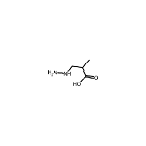 CC(CNN)C(=O)O